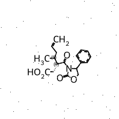 C=CC[C@H](C)[C@@H](CC(=O)O)C(=O)N1C(=O)OCC1c1ccccc1